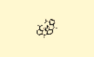 CC(C)c1cccc2c1N1CN3c4c(C(C)C)cccc4C(C)c4ccc(c1c43)C2C